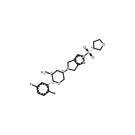 N[C@H]1C[C@@H](N2Cc3cn(S(=O)(=O)[C@@H]4CCOC4)nc3C2)CO[C@@H]1c1cc(F)ccc1F